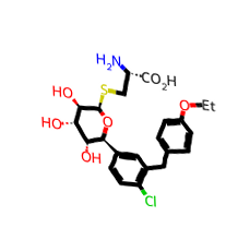 CCOc1ccc(Cc2cc([C@@H]3O[C@H](SC[C@H](N)C(=O)O)[C@H](O)[C@@H](O)[C@H]3O)ccc2Cl)cc1